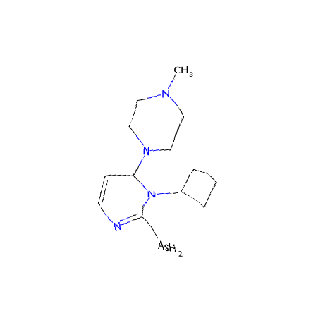 CN1CCN(C2C=CN=C([AsH2])N2C2CCC2)CC1